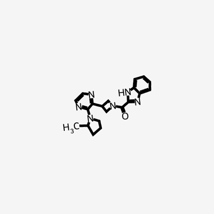 CC1CCCN1c1nccnc1C1CN(C(=O)c2nc3ccccc3[nH]2)C1